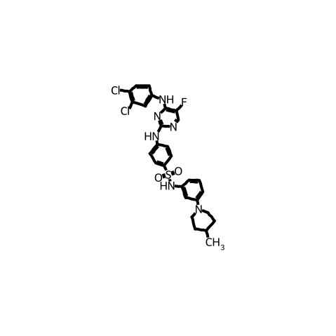 CC1CCN(c2cccc(NS(=O)(=O)c3ccc(Nc4ncc(F)c(Nc5ccc(Cl)c(Cl)c5)n4)cc3)c2)CC1